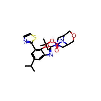 CC(C)c1cc(-c2nccs2)c2oc(N3CC4COCC(C3)N4C(=O)OC(C)(C)C)nc2c1